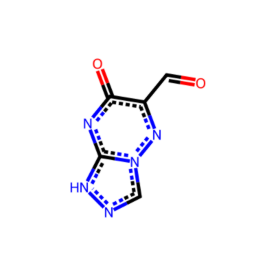 O=Cc1nn2cn[nH]c2nc1=O